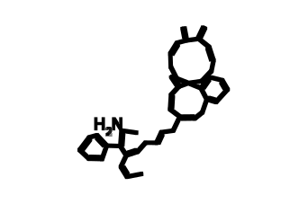 C=C1/C=C\CCC2(CC/C=C\C1=C)C(=C)/C=C\C(CC=CC/C=C(/C=C\C)C(=C(/C)N)\c1ccccc1)=C/Cc1ccccc12